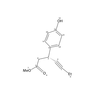 CCC#C[C@H](CC(=O)OC)c1ccc(O)cc1